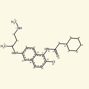 CNCCC(C)Nc1ccc2c(NC(=O)CC3CCCCC3)c(Cl)ccc2n1